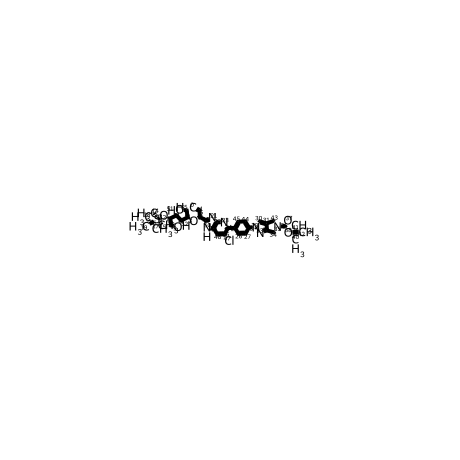 C=CC(O[C@@H]1CO[C@H]2[C@@H]1OC[C@H]2O[Si](C)(C)C(C)(C)C)c1nc2nc(-c3ccc(-n4cc5c(n4)CN(C(=O)OC(C)(C)C)C5)cc3)c(Cl)cc2[nH]1